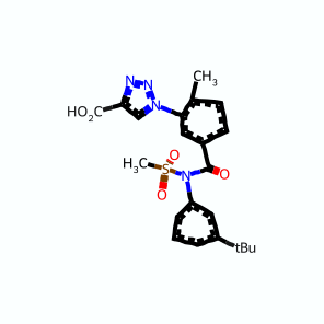 Cc1ccc(C(=O)N(c2cccc(C(C)(C)C)c2)S(C)(=O)=O)cc1-n1cc(C(=O)O)nn1